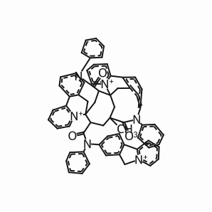 CC12CC(C(=O)N(c3ccccc3)c3ccc4c(c3)C[n+]3ccccc3-4)C34Cc5cc(ccc5-c5cccc[n+]53)N(c3ccccc3)C(=O)C(C4)C3(Cc4cc(ccc4-c4cccc[n+]43)N(c3ccccc3)C1=O)C2